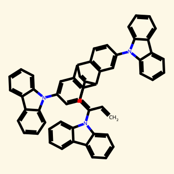 C=C/C(=C\C1=CC2c3cc(-n4c5ccccc5c5ccccc54)ccc3C1c1cc(-n3c4ccccc4c4ccccc43)ccc12)n1c2ccccc2c2ccccc21